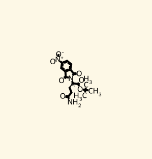 CC(C)(C)OC(=O)[C@@H](CCC(N)=O)N1C(=O)c2ccc([N+](=O)[O-])cc2C1=O